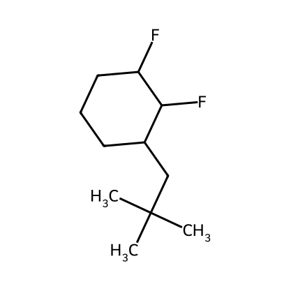 CC(C)(C)CC1CCCC(F)C1F